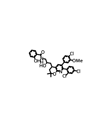 COc1cc(-c2cc3c(nc2-c2ccc(Cl)cc2Cl)OC(C)(C)CC3CC(O)CNC(=O)c2ccccc2O)ccc1Cl